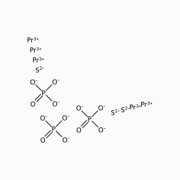 O=P([O-])([O-])[O-].O=P([O-])([O-])[O-].O=P([O-])([O-])[O-].[Pr+3].[Pr+3].[Pr+3].[Pr+3].[Pr+3].[S-2].[S-2].[S-2]